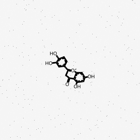 O=C1CC(c2ccc(O)c(O)c2)=[O+]c2cc(O)cc(O)c21